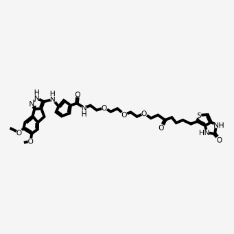 COc1cc2c(cc1OC)-c1n[nH]c(Nc3cccc(C(=O)NCCOCCOCCOCCC(=O)CCCCc4scc5[nH]c(=O)[nH]c45)c3)c1C2